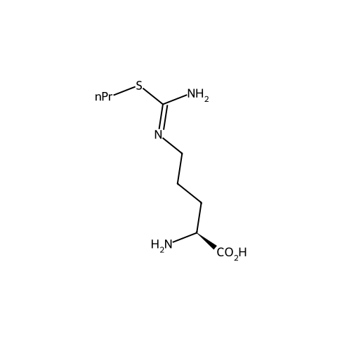 CCCSC(N)=NCCC[C@H](N)C(=O)O